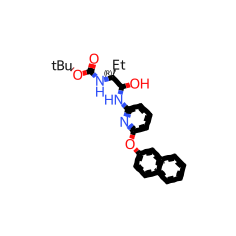 CC[C@@H](NC(=O)OC(C)(C)C)C(O)Nc1cccc(Oc2ccc3ccccc3c2)n1